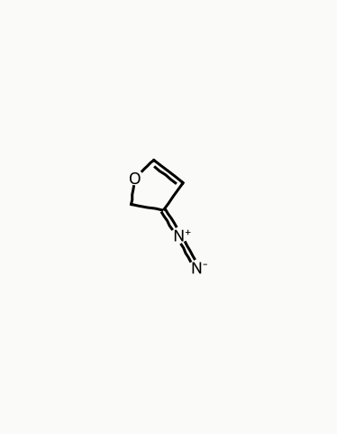 [N-]=[N+]=C1C=COC1